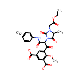 CCOC(=O)CN1C(=O)N(C(C(=O)Nc2ccccc2)C(=O)c2cc(C(=O)[O-])cc(C(=O)[O-])c2OC)C(=O)C1C.[K+].[K+]